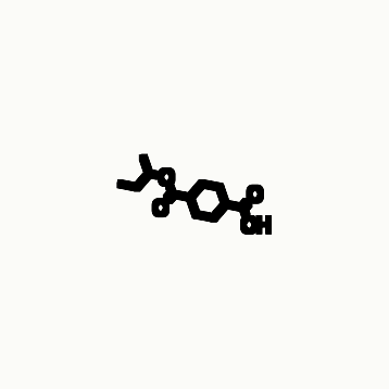 CCC(C)OC(=O)C1CCC(C(=O)O)CC1